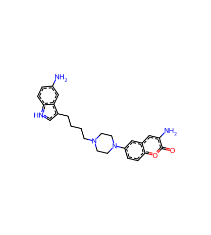 Nc1ccc2[nH]cc(CCCCN3CCN(c4ccc5oc(=O)c(N)cc5c4)CC3)c2c1